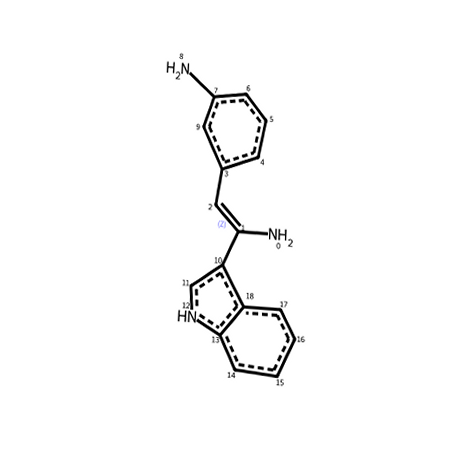 N/C(=C\c1cccc(N)c1)c1c[nH]c2ccccc12